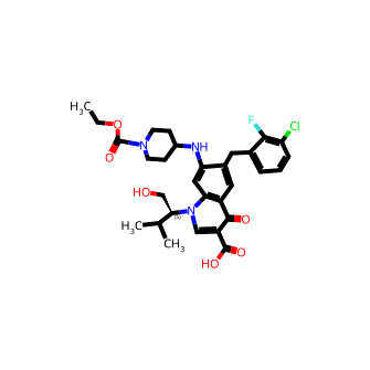 CCOC(=O)N1CCC(Nc2cc3c(cc2Cc2cccc(Cl)c2F)c(=O)c(C(=O)O)cn3[C@H](CO)C(C)C)CC1